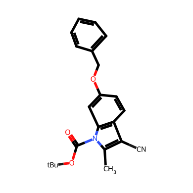 Cc1c(C#N)c2ccc(OCc3ccccc3)cc2n1C(=O)OC(C)(C)C